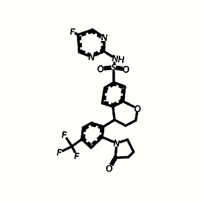 O=C1CCCN1c1cc(C(F)(F)F)ccc1C1CCOc2cc(S(=O)(=O)Nc3ncc(F)cn3)ccc21